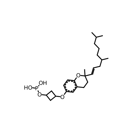 CC(C)CCCC(C)C/C=C/C1(C)CCc2cc(OC3CC(OP(O)O)C3)ccc2O1